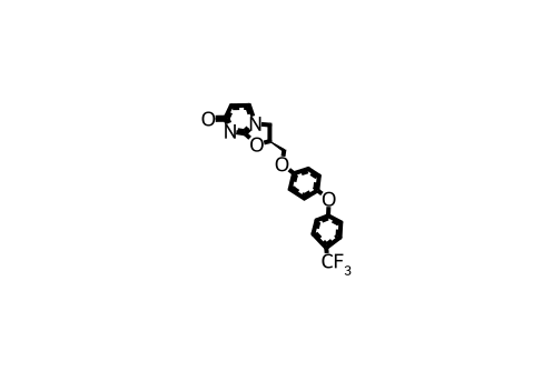 O=c1ccn2c(n1)O[C@H](COc1ccc(Oc3ccc(C(F)(F)F)cc3)cc1)C2